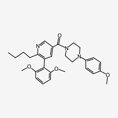 CCCCc1ncc(C(=O)N2CCN(c3ccc(OC)cc3)CC2)cc1-c1c(OC)cccc1OC